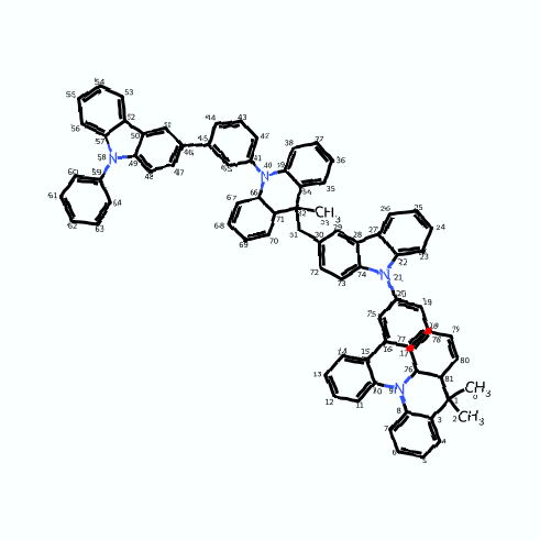 CC1(C)c2ccccc2N(c2ccccc2-c2cccc(-n3c4ccccc4c4cc(CC5(C)c6ccccc6N(c6cccc(-c7ccc8c(c7)c7ccccc7n8-c7ccccc7)c6)C6C=CC=CC65)ccc43)c2)C2C=CC=CC21